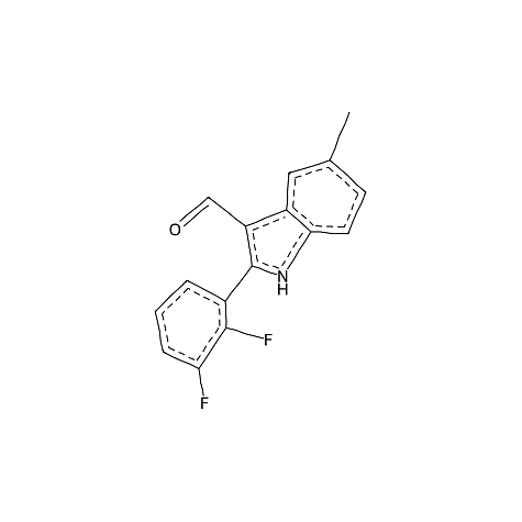 Cc1ccc2[nH]c(-c3cccc(F)c3F)c(C=O)c2c1